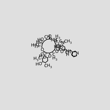 CC[C@H]1OC(=O)[C@H](C)C(OC2C[C@H](C)[C@@H](O)[C@H](C)O2)[C@H](C)C(O[C@@H]2O[C@H](C)C[C@H](N(C)C)[C@H]2O)[C@](C)(OCCCNCc2cccnc2)C[C@@H](C)NC(=O)[C@H](C)[C@@H](O)[C@]1(C)O